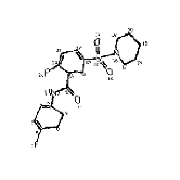 O=C(NC1=CC=C(F)CC1)C1CC(S(=O)(=O)N2CCCCC2)=CC=C1F